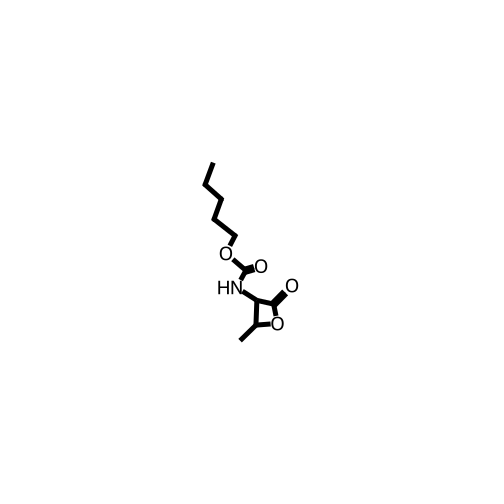 CCCCCOC(=O)NC1C(=O)OC1C